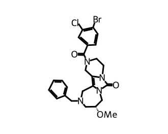 CO[C@@H]1CN(Cc2ccccc2)Cc2c3n(c(=O)n2C1)CCN(C(=O)c1ccc(Br)c(Cl)c1)C3